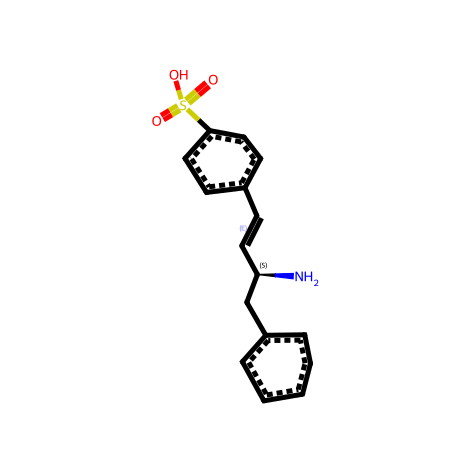 N[C@H](/C=C/c1ccc(S(=O)(=O)O)cc1)Cc1ccccc1